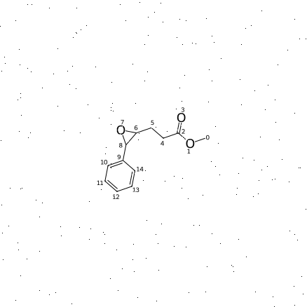 COC(=O)CCC1OC1c1ccccc1